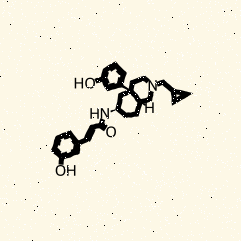 O=C(C=Cc1cccc(O)c1)N[C@H]1CC[C@@H]2CN(CC3CC3)CC[C@@]2(c2cccc(O)c2)C1